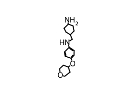 NC1CCC(CNc2ccc(OC3CCOCC3)cc2)CC1